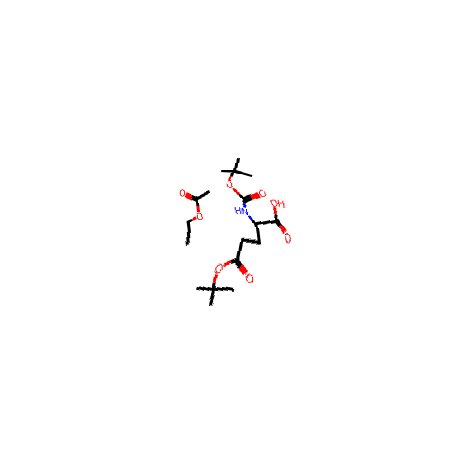 CC(C)(C)OC(=O)CCC(NC(=O)OC(C)(C)C)C(=O)O.CCOC(C)=O